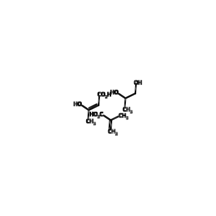 C=C(C)C(=O)O.CC(O)=CC(=O)O.CC(O)CO